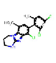 Cc1cc(Cl)cc(Cl)c1-c1cc(C(=O)O)c2c(nc3n2CCCN3)c1Cl